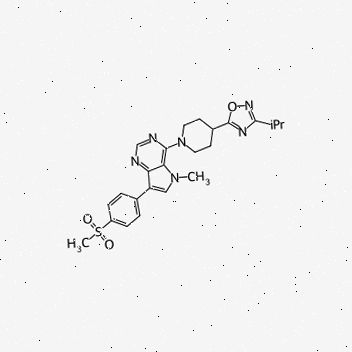 CC(C)c1noc(C2CCN(c3ncnc4c(-c5ccc(S(C)(=O)=O)cc5)cn(C)c34)CC2)n1